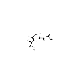 C=CC(=C)OC(=C)C(=O)N(CC)Cc1cc(C(=O)NO)nn1CC